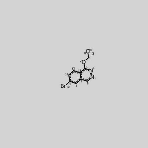 FC(F)(F)COc1nncc2cc(Br)ccc12